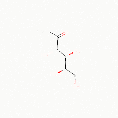 O=C(O)C(=O)[C@@H](O)[C@@H](O)[C@H](O)CO